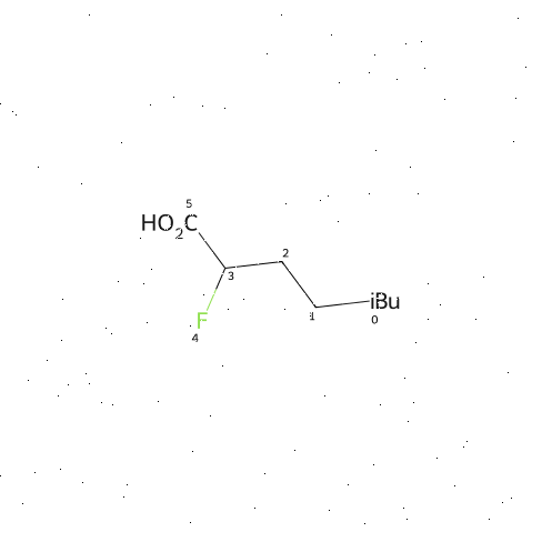 CCC(C)CCC(F)C(=O)O